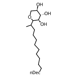 CCCCCCCCCCCCCCCCCCCC(C)C1OC[C@@H](O)[C@H](O)[C@H]1O